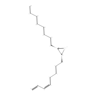 C=C/C=C\CCCC[C@@H]1O[C@@H]1CCCCCCCC